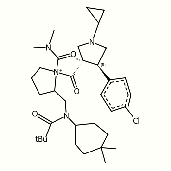 CN(C)C(=O)[N+]1(C(=O)[C@@H]2CN(C3CC3)C[C@H]2c2ccc(Cl)cc2)CCCC1CN(C(=O)C(C)(C)C)C1CCC(C)(C)CC1